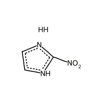 O=[N+]([O-])c1ncc[nH]1.[HH]